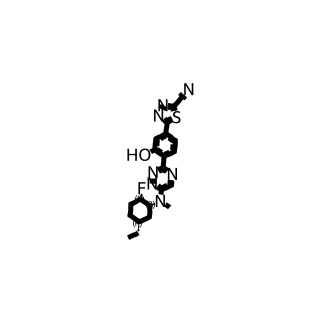 CC[C@@H]1CC[C@H](F)[C@H](N(C)c2cnc(-c3ccc(-c4nnc(C#N)s4)cc3O)nn2)C1